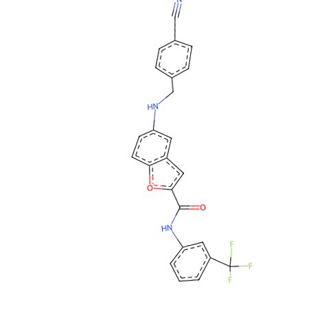 N#Cc1ccc(CNc2ccc3oc(C(=O)Nc4cccc(C(F)(F)F)c4)cc3c2)cc1